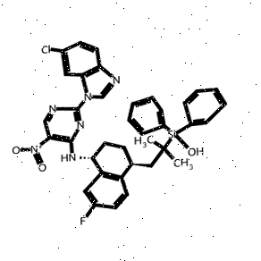 CC(C)(C[C@@H]1CC[C@@H](Nc2nc(-n3cnc4ccc(Cl)cc43)ncc2[N+](=O)[O-])c2cc(F)ccc21)[Si](O)(c1ccccc1)c1ccccc1